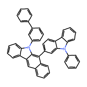 c1ccc(-c2cccc(-n3c4ccccc4c4cc5ccccc5c(-c5ccc6c7ccccc7n(-c7ccccc7)c6c5)c43)c2)cc1